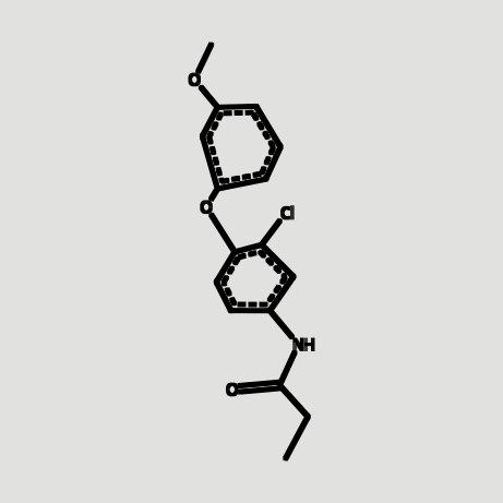 CCC(=O)Nc1ccc(Oc2cccc(OC)c2)c(Cl)c1